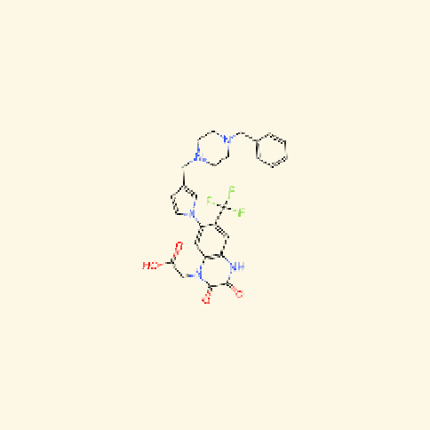 O=C(O)Cn1c(=O)c(=O)[nH]c2cc(C(F)(F)F)c(-n3ccc(CN4CCN(Cc5ccccc5)CC4)c3)cc21